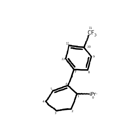 C[C](C)C1CCCC=C1c1ccc(C(F)(F)F)cc1